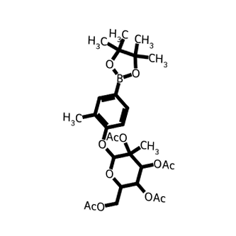 CC(=O)OCC1OC(Oc2ccc(B3OC(C)(C)C(C)(C)O3)cc2C)C(C)(OC(C)=O)C(OC(C)=O)C1OC(C)=O